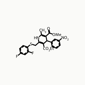 CCOC(=O)C1=C(CSc2ccc(F)cc2F)NC(C)=C(C(=O)OC)C1c1cccc([N+](=O)[O-])c1